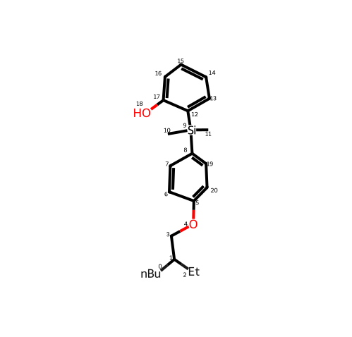 CCCCC(CC)COc1ccc([Si](C)(C)c2ccccc2O)cc1